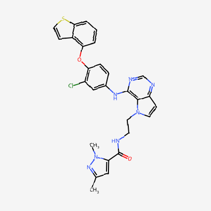 Cc1cc(C(=O)NCCn2ccc3ncnc(Nc4ccc(Oc5cccc6sccc56)c(Cl)c4)c32)n(C)n1